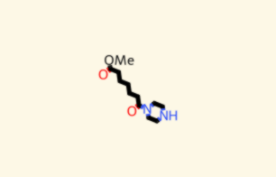 COC(=O)CCCCCC(=O)N1CCNCC1